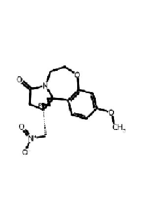 COc1ccc2c(c1)OCCN1C(=O)CC3[C@H](C[N+](=O)[O-])CCC231